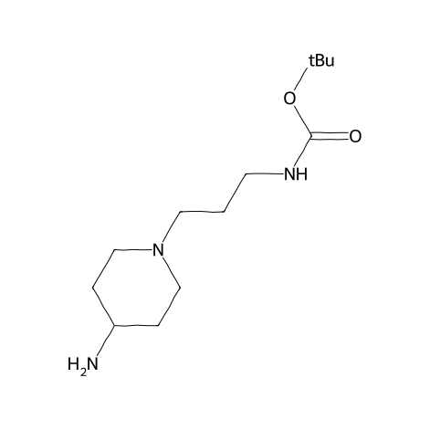 CC(C)(C)OC(=O)NCCCN1CCC(N)CC1